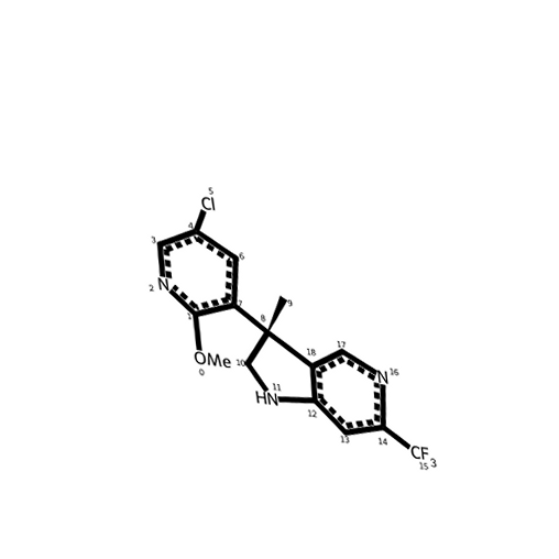 COc1ncc(Cl)cc1[C@@]1(C)CNc2cc(C(F)(F)F)ncc21